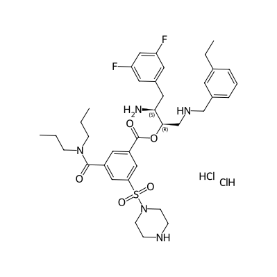 CCCN(CCC)C(=O)c1cc(C(=O)O[C@H](CNCc2cccc(CC)c2)[C@@H](N)Cc2cc(F)cc(F)c2)cc(S(=O)(=O)N2CCNCC2)c1.Cl.Cl